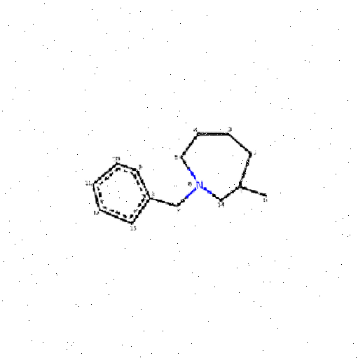 CC1CCCCN(Cc2ccccc2)C1